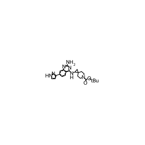 CC(C)(C)OC(=O)N1CCC2(CC1)CC2Nc1nc(N)nc2cc(-c3cc[nH]n3)ccc12